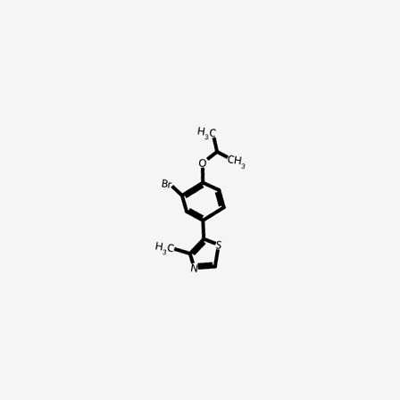 Cc1ncsc1-c1ccc(OC(C)C)c(Br)c1